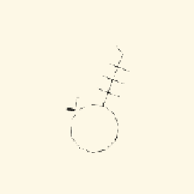 O=P1(O)OCCCCCCCC(C(F)(F)C(F)(F)C(F)(F)CF)O1